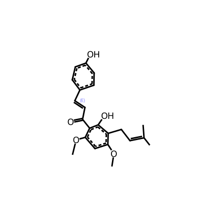 COc1cc(OC)c(C(=O)/C=C/c2ccc(O)cc2)c(O)c1CC=C(C)C